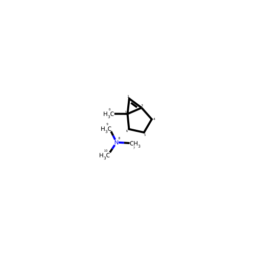 CC12C=C1CCC2.CN(C)C